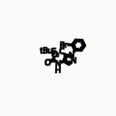 CC(C)(C)OC(=O)Nc1cnn(-c2ccccc2Br)c1C(F)(F)F